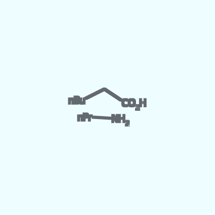 CCCCCC(=O)O.CCCN